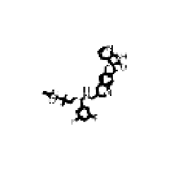 CC1OC(C(C)(C)CC[C@H](NCc2cnc3cc4c(cc3c2)C[C@@]2(C4)C(=O)Nc3ncccc32)c2cc(F)cc(F)c2)O1